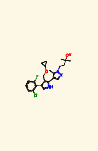 Cc1c(-c2[nH]cc(-c3c(F)cccc3Cl)c2COC2CC2)cnn1CCC(C)(C)O